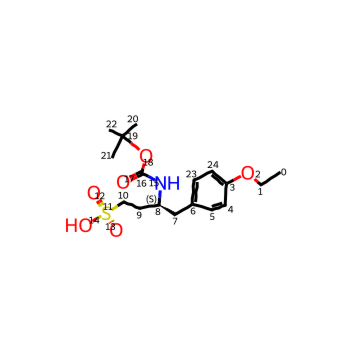 CCOc1ccc(C[C@@H](CCS(=O)(=O)O)NC(=O)OC(C)(C)C)cc1